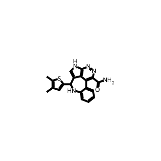 Cc1cc(C2Nc3ccccc3-c3c(C(N)=O)nnc4[nH]cc2c34)sc1C